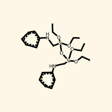 CCO[Si](CNc1ccccc1)(OCC)O[Si](CNc1ccccc1)(OCC)OCC